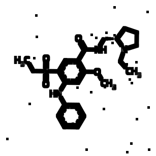 CCN1CCC[C@H]1CNC(=O)c1cc(S(=O)(=O)CC)c(Nc2ccccc2)cc1OC